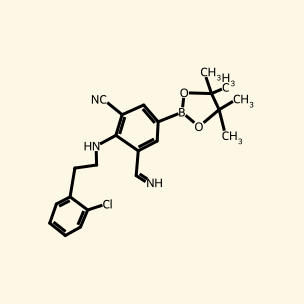 CC1(C)OB(c2cc(C#N)c(NCCc3ccccc3Cl)c(C=N)c2)OC1(C)C